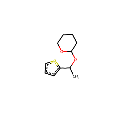 CC(OC1CCCCO1)c1cccs1